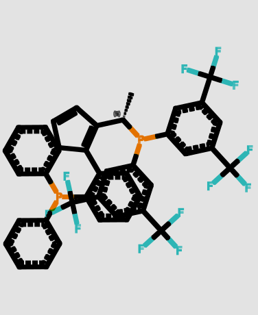 C[C@@H](C1=C(c2ccccc2P(c2ccccc2)c2ccccc2)CC=C1)P(c1cc(C(F)(F)F)cc(C(F)(F)F)c1)c1cc(C(F)(F)F)cc(C(F)(F)F)c1